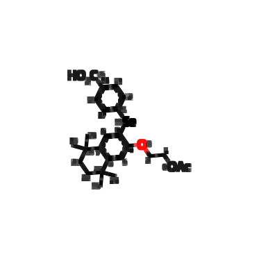 CC(=O)OCCOc1cc2c(cc1[Se]c1ccc(C(=O)O)cc1)C(C)(C)CCC2(C)C